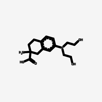 NC1(C(=O)O)CCc2ccc(N(CCO)CCO)cc2C1